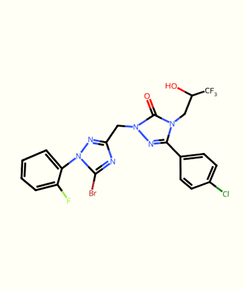 O=c1n(Cc2nc(Br)n(-c3ccccc3F)n2)nc(-c2ccc(Cl)cc2)n1CC(O)C(F)(F)F